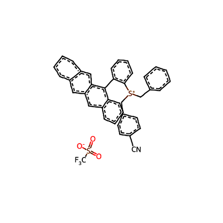 N#Cc1ccc(C[S+](Cc2ccccc2)c2ccccc2-c2c3ccccc3cc3cc4ccccc4cc23)cc1.O=S(=O)([O-])C(F)(F)F